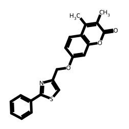 Cc1c(C)c2ccc(OCc3csc(-c4ccccc4)n3)cc2oc1=O